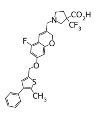 Cc1sc(COc2cc(F)c3c(c2)OCC(CN2CCC(C(=O)O)(C(F)(F)F)C2)=C3)cc1-c1ccccc1